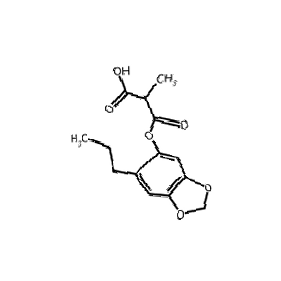 CCCc1cc2c(cc1OC(=O)C(C)C(=O)O)OCO2